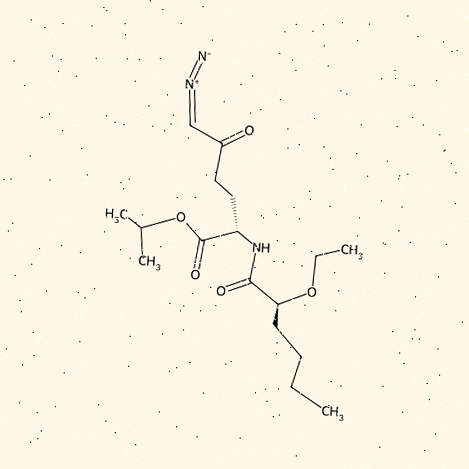 CCCC[C@H](OCC)C(=O)N[C@@H](CCC(=O)C=[N+]=[N-])C(=O)OC(C)C